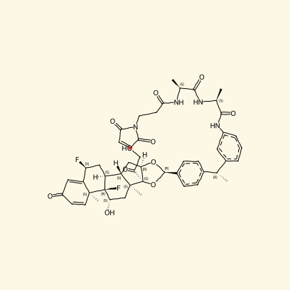 C[C@H](c1ccc([C@@H]2O[C@@H]3C[C@H]4[C@@H]5C[C@H](F)C6=CC(=O)C=C[C@]6(C)[C@@]5(F)[C@@H](O)C[C@]4(C)[C@]3(C(=O)CO)O2)cc1)c1cccc(NC(=O)[C@H](C)NC(=O)[C@H](C)NC(=O)CCN2C(=O)C=CC2=O)c1